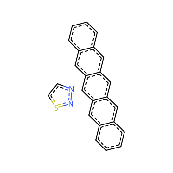 c1ccc2cc3cc4cc5ccccc5cc4cc3cc2c1.c1csnn1